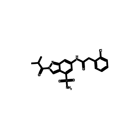 CC(C)C(=O)n1cc2c(S(N)(=O)=O)cc(NC(=O)Cc3ccccc3Cl)cc2n1